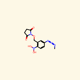 CN=[N+]=Nc1ccc(N(O)O)c(CON2C(=O)CCC2=O)c1